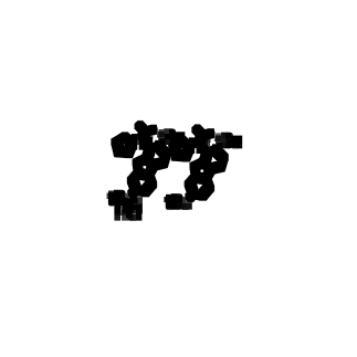 C[C](C)=[Hf]([C]1=CC=CC1)[c]1c(C(C)(C)C)ccc2c1Cc1cc(C(C)(C)C)ccc1-2.C[C](C)=[Hf]([C]1=CC=CC1)[c]1c(C(C)(C)C)ccc2c1Cc1cc(C(C)(C)C)ccc1-2.Cl.Cl